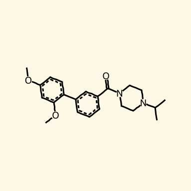 COc1ccc(-c2cccc(C(=O)N3CCN(C(C)C)CC3)c2)c(OC)c1